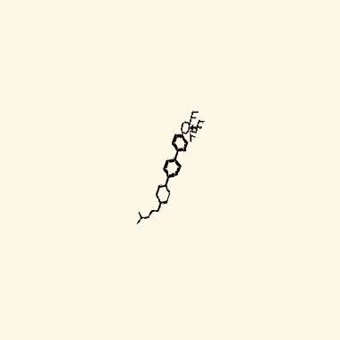 CC(C)CCCC1CCC(c2ccc(-c3ccc(OC(F)(F)F)cc3)cc2)CC1